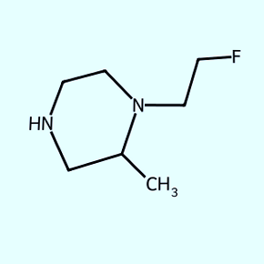 CC1CNCCN1CCF